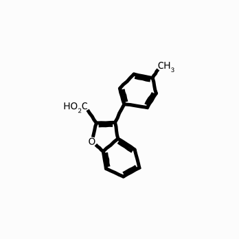 Cc1ccc(-c2c(C(=O)O)oc3ccccc23)cc1